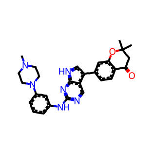 CN1CCN(c2cccc(Nc3ncc4c(-c5ccc6c(c5)OC(C)(C)CC6=O)c[nH]c4n3)c2)CC1